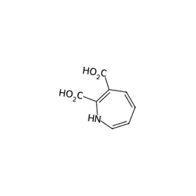 O=C(O)C1=C(C(=O)O)NC=CC=C1